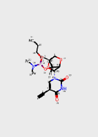 C#Cc1cn([C@@H]2O[C@]3(CC)COC2[C@@H]3OP(OCCC#N)N(C(C)C)C(C)C)c(=O)[nH]c1=O